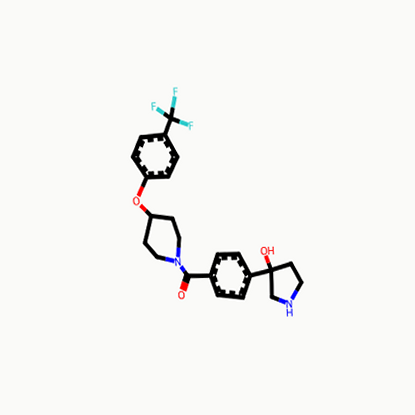 O=C(c1ccc(C2(O)CCNC2)cc1)N1CCC(Oc2ccc(C(F)(F)F)cc2)CC1